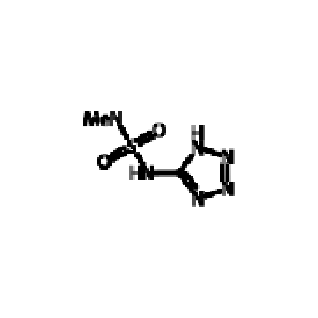 CNS(=O)(=O)Nc1nnn[nH]1